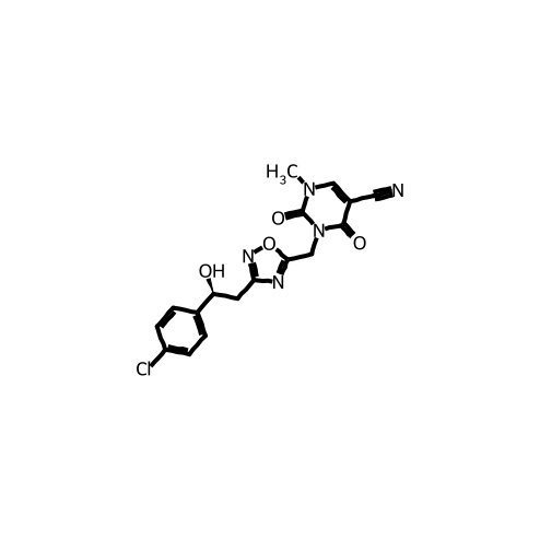 Cn1cc(C#N)c(=O)n(Cc2nc(C[C@H](O)c3ccc(Cl)cc3)no2)c1=O